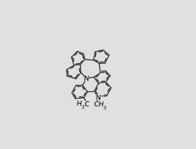 Cc1cccc2c1-c1c3c4c(ccc3cc[n+]1C)-c1ccccc1-c1cccc3cccc(c13)N24